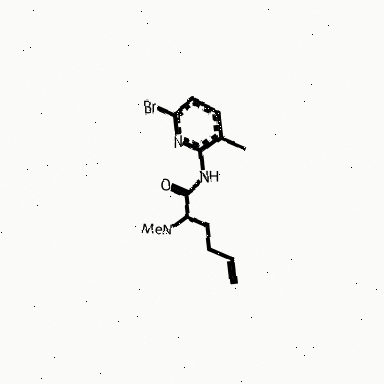 C=CCCC(NC)C(=O)Nc1nc(Br)ccc1C